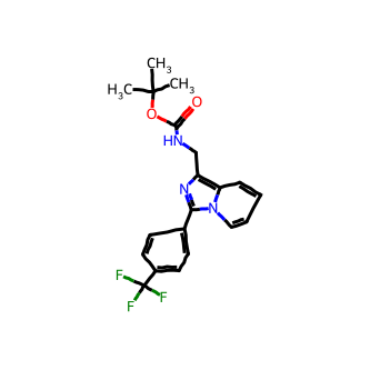 CC(C)(C)OC(=O)NCc1nc(-c2ccc(C(F)(F)F)cc2)n2ccccc12